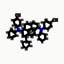 N#Cc1ccc(N(c2ccccc2)c2ccc3ccc4c(N(c5ccccc5)c5ccc(C#N)cc5)cc(C5CCCCC5)c5ccc2c3c54)cc1